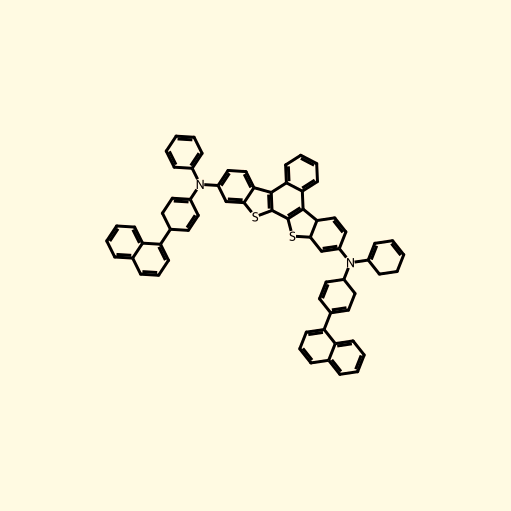 C1=CCCC(N(C2=CC3Sc4c(c5ccccc5c5c4sc4cc(N(C6=CCC(c7cccc8ccccc78)C=C6)c6ccccc6)ccc45)C3C=C2)C2C=CC(c3cccc4ccccc34)=CC2)=C1